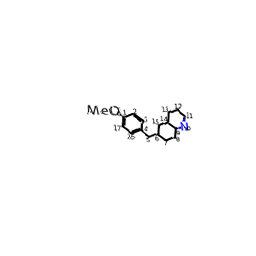 COc1ccc(CC2CCC3N=CCCC3C2)cc1